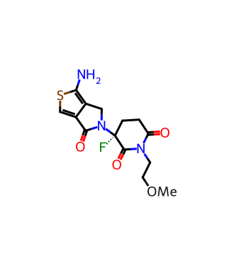 COCCN1C(=O)CC[C@](F)(N2Cc3c(csc3N)C2=O)C1=O